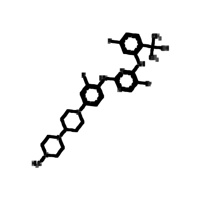 CN1CCN(C2CCN(c3ccc(Nc4ncc(Br)c(Nc5cc(F)ccc5C(C)(C)O)n4)c(F)c3)CC2)CC1